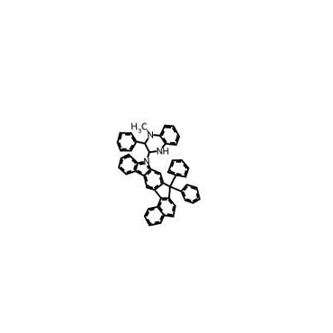 CN1c2ccccc2NC(n2c3ccccc3c3cc4c(cc32)C(c2ccccc2)(c2ccccc2)c2ccc3ccccc3c2-4)C1c1ccccc1